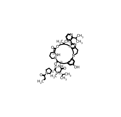 C=CC(=O)N1CC[C@H](C(=O)N(C)[C@H](C(=O)N[C@H]2Cc3cc(O)cc(c3)N3CCc4nc(-c5cccnc5C(C)C)n(c4C3)CC(C)(C)COC(=O)[C@@H]3CCCN(N3)C2=O)C(C)C)C1